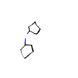 C1CCC(NC2CCCC2)C1.[I-].[I-].[Pt+2]